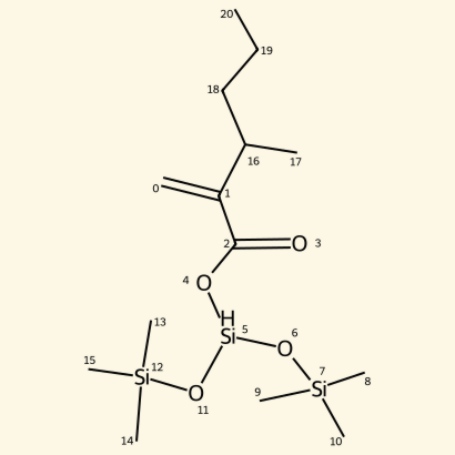 C=C(C(=O)O[SiH](O[Si](C)(C)C)O[Si](C)(C)C)C(C)CCC